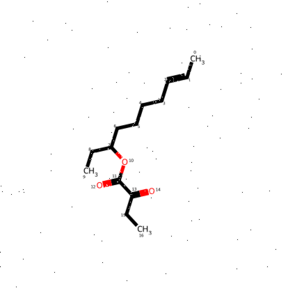 CC=CCCCCC(CC)OC(=O)C(=O)CC